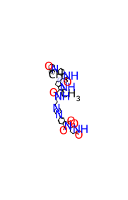 Cc1[nH]c2c(c1C(=O)NCCCN1CCN(c3ccc4c(c3)C(=O)N(C3CCC(=O)NC3=O)C4=O)CC1)CC/C2=C1/C(=O)Nc2ccc(N3CCOC[C@@H]3C)cc21